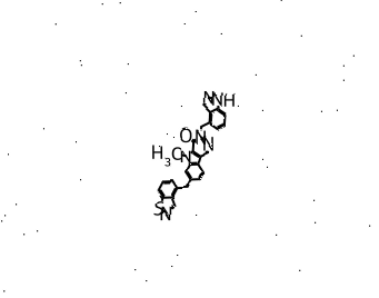 Cn1c2cc(Cc3cccc4sncc34)ccc2c2cnn(Cc3cccc4[nH]ncc34)c(=O)c21